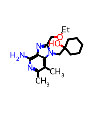 CCOCc1nc2c(N)nc(C)c(C)c2n1CC1(O)CCCCC1